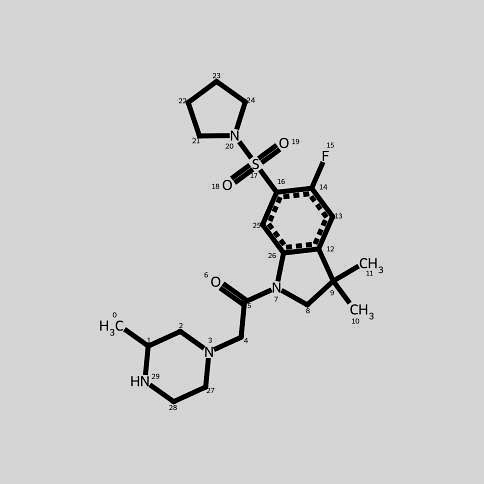 CC1CN(CC(=O)N2CC(C)(C)c3cc(F)c(S(=O)(=O)N4CCCC4)cc32)CCN1